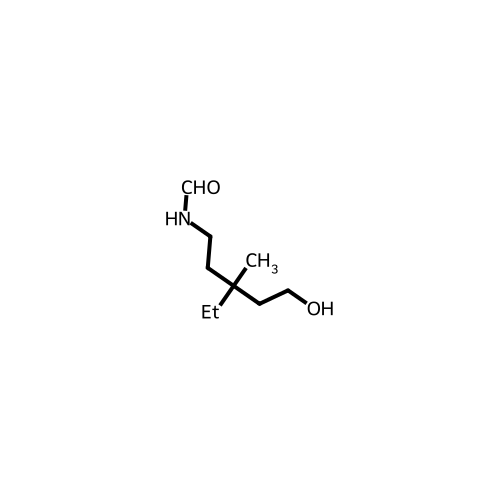 CCC(C)(CCO)CCNC=O